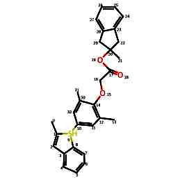 CC1=Cc2ccccc2[SH]1c1cc(C)c(OCC(=O)OC2(C)Cc3ccccc3C2)c(C)c1